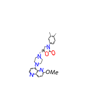 COc1ccc2nccc(N3CCN(C[C@@H]4CN(c5ccc(C)c(C)c5)C(=O)O4)CC3)c2n1